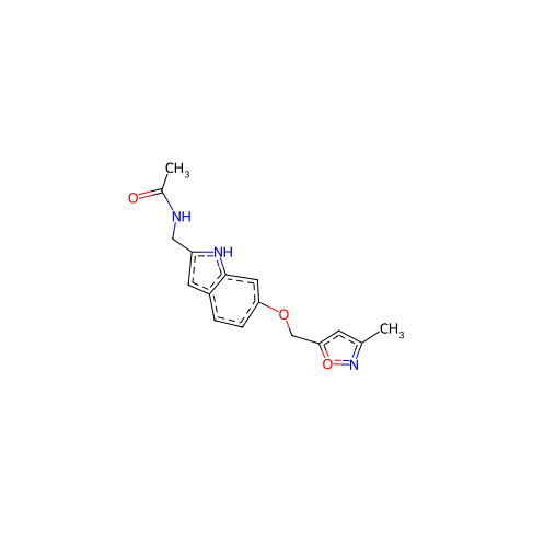 CC(=O)NCc1cc2ccc(OCc3cc(C)no3)cc2[nH]1